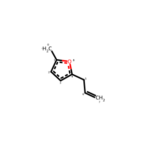 [CH2]c1ccc(CC=C)o1